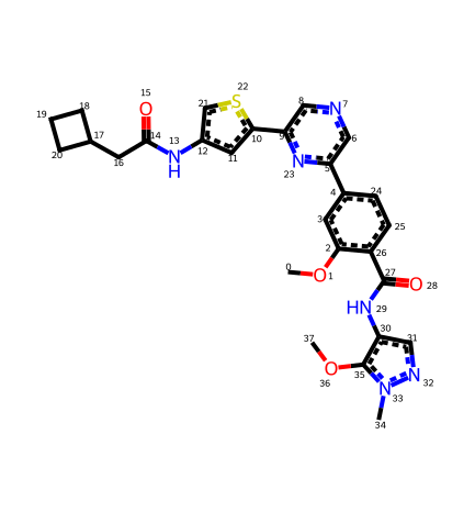 COc1cc(-c2cncc(-c3cc(NC(=O)CC4CCC4)cs3)n2)ccc1C(=O)Nc1cnn(C)c1OC